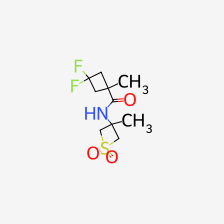 CC1(NC(=O)C2(C)CC(F)(F)C2)CS(=O)(=O)C1